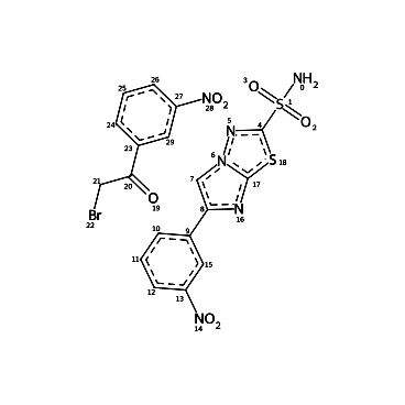 NS(=O)(=O)c1nn2cc(-c3cccc([N+](=O)[O-])c3)nc2s1.O=C(CBr)c1cccc([N+](=O)[O-])c1